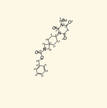 CCCCN1C(=O)CC(=O)N(C2CCC3(CC2)CN(C(=O)OCc2ccccc2)C3)C1=O